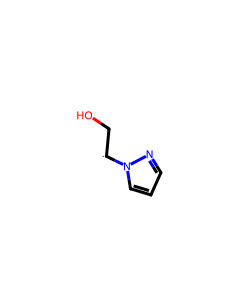 OC[CH]n1cccn1